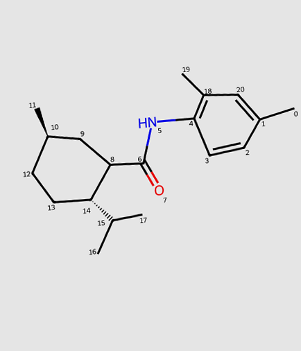 Cc1ccc(NC(=O)C2C[C@H](C)CC[C@H]2C(C)C)c(C)c1